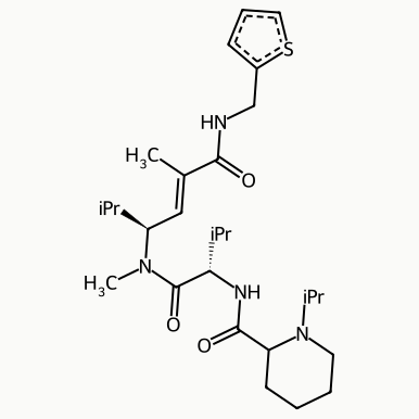 C/C(=C\[C@H](C(C)C)N(C)C(=O)[C@@H](NC(=O)C1CCCCN1C(C)C)C(C)C)C(=O)NCc1cccs1